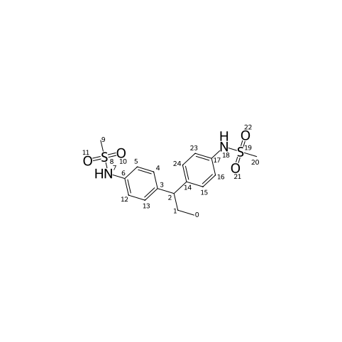 CCC(c1ccc(NS(C)(=O)=O)cc1)c1ccc(NS(C)(=O)=O)cc1